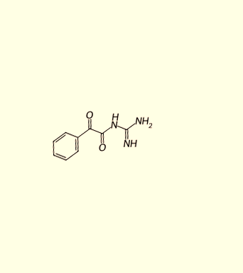 N=C(N)NC(=O)C(=O)c1ccccc1